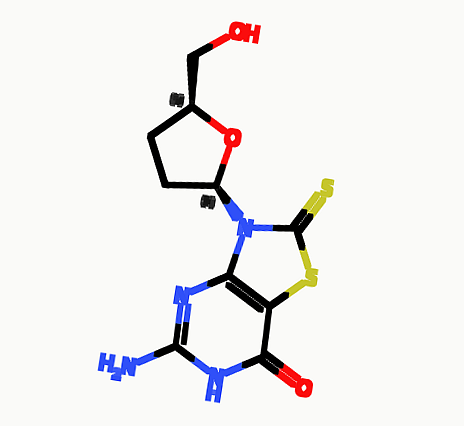 Nc1nc2c(sc(=S)n2[C@H]2CC[C@@H](CO)O2)c(=O)[nH]1